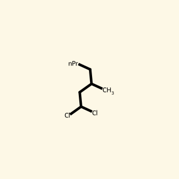 CCCCC(C)CC(Cl)Cl